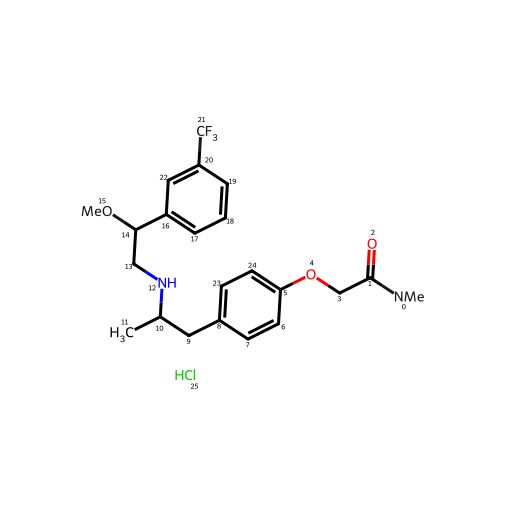 CNC(=O)COc1ccc(CC(C)NCC(OC)c2cccc(C(F)(F)F)c2)cc1.Cl